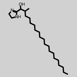 CCCCCCCCCCCCCCCCCCC(C)C(O)C1=NCCN1